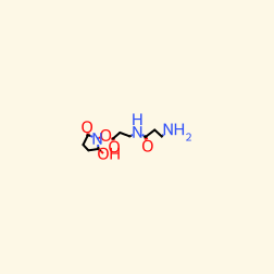 NCCC(=O)NCCC(=O)ON1C(=O)CCC1O